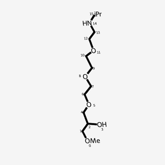 COCC(O)COCCOCCOCCNC(C)C